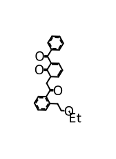 CCOCCc1ccccc1C(=O)CC1C=CC=C(C(=O)c2ccccc2)C1=O